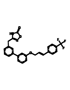 O=S1NC(Cc2cccc(-c3cccc(OCC=Cc4ccc(C(F)(F)F)cc4)c3)c2)=NO1